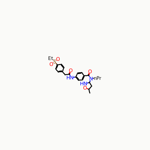 CCCN(C(=O)c1ccc(NC(=O)Cc2ccc(S(=O)(=O)CC)cc2)cc1)C1CC(C)ON1